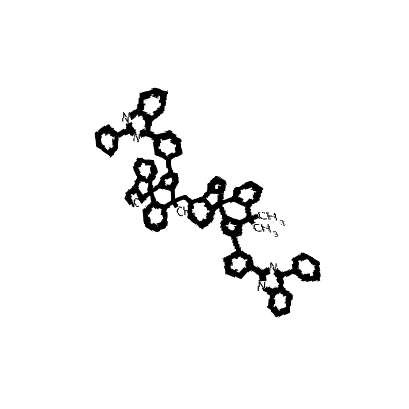 CC1(C)c2ccccc2C2(c3ccccc3-c3c(CC4(C)c5ccccc5C5(c6ccccc6-c6ccccc65)c5cc(-c6cccc(-c7nc(-c8ccccc8)nc8ccccc78)c6)ccc54)cccc32)c2ccc(-c3cccc(-c4nc(-c5ccccc5)c5ccccc5n4)c3)cc21